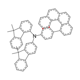 CC1(C)c2ccccc2-c2ccc(N(c3ccc(-c4cccc5ccc6ccc7ccccc7c6c45)cc3)c3cccc4c3-c3ccccc3C4(C)C)cc21